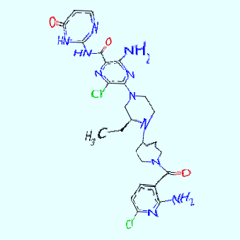 CC[C@H]1CN(c2nc(N)c(C(=O)Nc3nccc(=O)[nH]3)nc2Cl)CCN1C1CCN(C(=O)c2ccc(Cl)nc2N)CC1